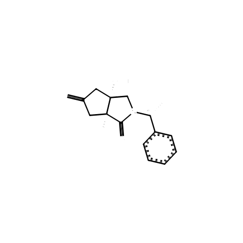 C=C1C[C@@H]2C(=O)N([C@H](C)c3ccccc3)C[C@]2(C(=O)O)C1